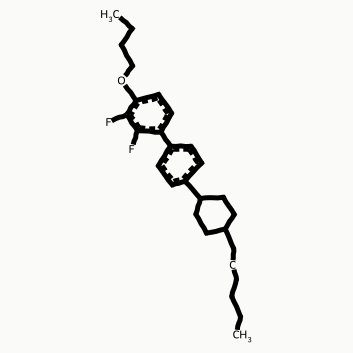 CCCCCCC1CCC(c2ccc(-c3ccc(OCCCC)c(F)c3F)cc2)CC1